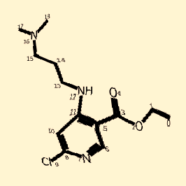 CCOC(=O)c1cnc(Cl)cc1NCCCN(C)C